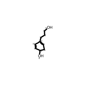 OCCCC1=CCC(O)C=C1